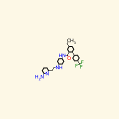 CCc1ccc(-c2ccc(C(F)(F)F)cc2)c(C(=O)Nc2ccc(NCCc3cccc(N)n3)cc2)c1